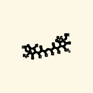 CN1C(=O)[N+](C)(CO)C(=O)C1N(Cl)C(=O)N(Cl)CN(Cl)C(=O)N(Cl)C1C(=O)[N+](C)(CO)C(=O)N1Cl